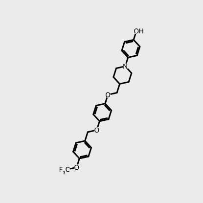 Oc1ccc(N2CCC(COc3ccc(OCc4ccc(OC(F)(F)F)cc4)cc3)CC2)cc1